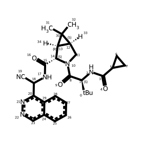 CC(C)(C)[C@H](NC(=O)C1CC1)C(=O)N1C[C@H]2[C@@H]([C@H]1C(=O)NC(C#N)c1nncc3ccccc13)C2(C)C